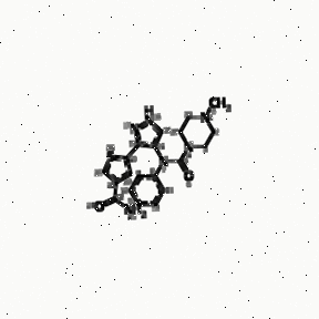 CN1CCN(C(=O)N(c2ccccc2)c2c[nH]nc2-c2cc(C(N)=O)cs2)CC1